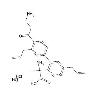 C=CCc1ccc(C(C)(N)C(=O)O)c(-c2ccc(C(=O)CCN)c(CC=C)c2)c1.Cl.Cl